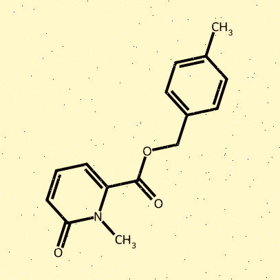 Cc1ccc(COC(=O)c2cccc(=O)n2C)cc1